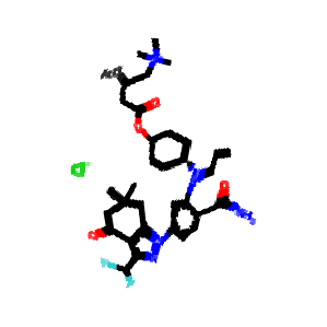 C=CCN(c1cc(-n2nc(C(F)F)c3c2CC(C)(C)CC3=O)ccc1C(N)=O)[C@H]1CC[C@H](OC(=O)CC(C[N+](C)(C)C)OC(C)=O)CC1.[Cl-]